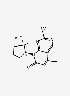 CSc1ncc2c(C)cc(=O)n([C@H]3CCC[C@]3(C)OC(C)=O)c2n1